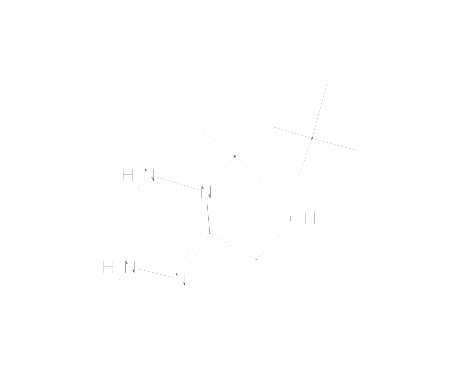 CC(C)(C)CC(C)(C)N(N)/C(CO)=N\N